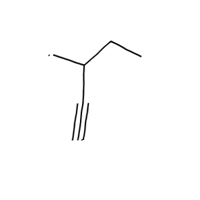 [C]#CC([CH2])CC